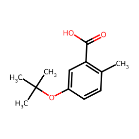 Cc1ccc(OC(C)(C)C)cc1C(=O)O